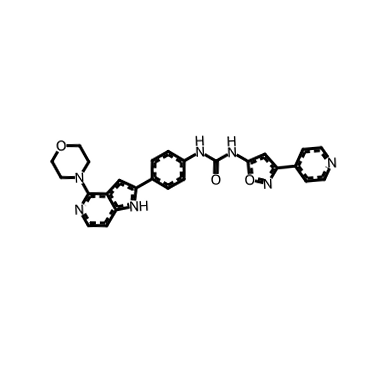 O=C(Nc1ccc(-c2cc3c(N4CCOCC4)nccc3[nH]2)cc1)Nc1cc(-c2ccncc2)no1